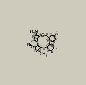 Cn1nc(C#N)c2c1Cc1cccnc1-c1ccc(F)cc1COc1cc-2cnc1N